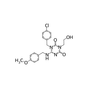 COc1ccc(CNc2nc(=O)n(CCO)c(=O)n2Cc2ccc(Cl)cc2)cc1